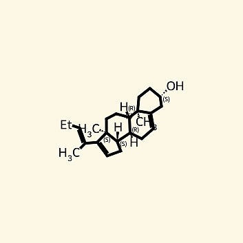 CCC=C(C)C1=CC[C@H]2[C@@H]3CC=C4C[C@@H](O)CC[C@]4(C)[C@H]3CC[C@]12C